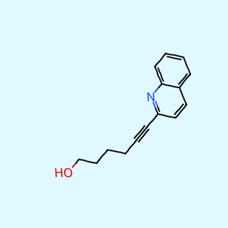 OCCCCC#Cc1ccc2ccccc2n1